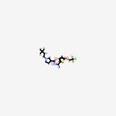 C[C@@H](NC(=O)C1CCN(CCC(C)(C)C)C1)c1ccc(OCC(F)(F)F)s1